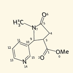 COC(=O)C1CC(=O)N(C)C1c1cccnc1